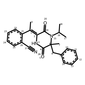 CC(=C1NC(=O)C(C)(Cc2ccccc2)N(C(C)C)C1=O)c1ccccc1C#N